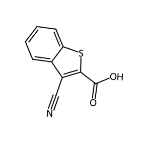 N#Cc1c(C(=O)O)sc2ccccc12